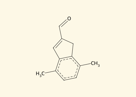 Cc1ccc(C)c2c1C=C(C=O)C2